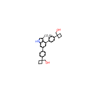 O=C(O)c1c[nH]c2cc(-c3ccc(C4(CO)CCC4)cc3)cc(-c3ccc(C4(CO)CCC4)cc3)c12